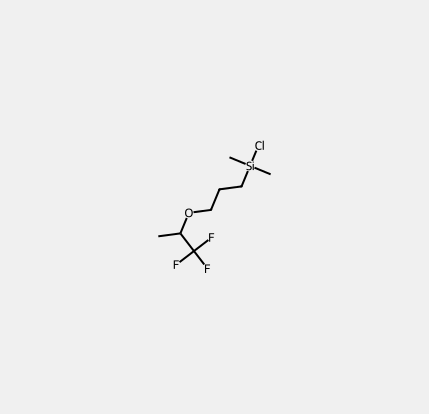 CC(OCCC[Si](C)(C)Cl)C(F)(F)F